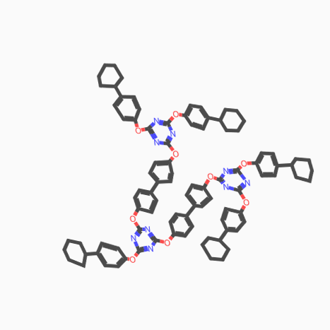 c1cc(-c2ccc(Oc3nc(Oc4ccc(C5CCCCC5)cc4)nc(Oc4ccc(C5CCCCC5)cc4)n3)cc2)ccc1Oc1nc(Oc2ccc(-c3ccc(Oc4nc(Oc5ccc(C6CCCCC6)cc5)nc(Oc5ccc(C6CCCCC6)cc5)n4)cc3)cc2)nc(Oc2ccc(C3CCCCC3)cc2)n1